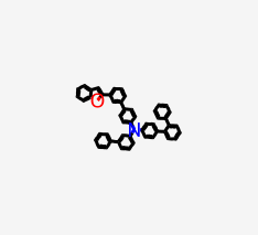 c1ccc(-c2cccc(N(c3ccc(-c4cccc(-c5cc6ccccc6o5)c4)cc3)c3ccc(-c4ccccc4-c4ccccc4)cc3)c2)cc1